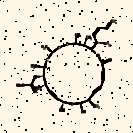 C=C/C=C\[C@H](C)[C@@H]1OC(=O)/C=C\C=C\[C@@H](C)[C@@H](O)C[C@H](O)/C=C\[C@H](C)[C@H](OC(=O)OC)[C@@H](C)C[C@@H](C)CC[C@@H](O)[C@@H]1C